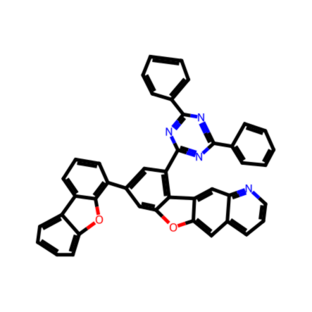 c1ccc(-c2nc(-c3ccccc3)nc(-c3cc(-c4cccc5c4oc4ccccc45)cc4oc5cc6cccnc6cc5c34)n2)cc1